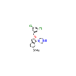 COc1ccc2c(c1)[C@@H](N1CCNCC1)[C@H](OCc1cc(Cl)cc(Cl)c1)C2